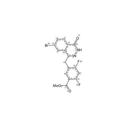 COC(=O)c1cc(Cc2n[nH]c(=O)c3ccc(Br)cc23)c(F)cc1F